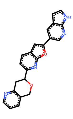 c1cnc2c(c1)COC(c1ccc3cc(-c4cnc5[nH]ccc5c4)oc3n1)C2